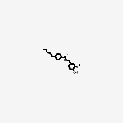 CCCCCc1ccc(C(=O)NCc2ccc(O)c(OC)c2)cc1